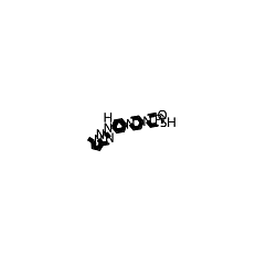 Cc1ccc2cnc(Nc3ccc(N4CCC(N5CCP(=O)(S)CC5)CC4)cc3)nn12